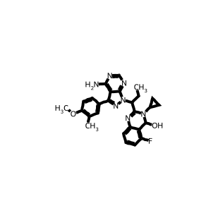 CCC(C1=Nc2cccc(F)c2C(O)N1C1CC1)n1nc(-c2ccc(OC)c(C)c2)c2c(N)ncnc21